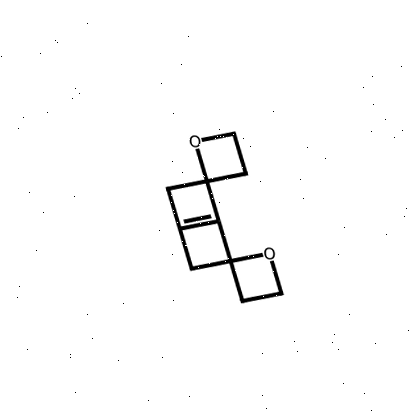 C1CC2(CC3=C2C2(CCO2)C3)O1